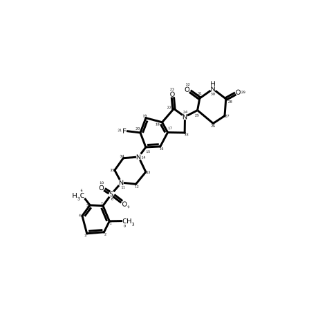 Cc1cccc(C)c1S(=O)(=O)N1CCN(c2cc3c(cc2F)C(=O)N(C2CCC(=O)NC2=O)C3)CC1